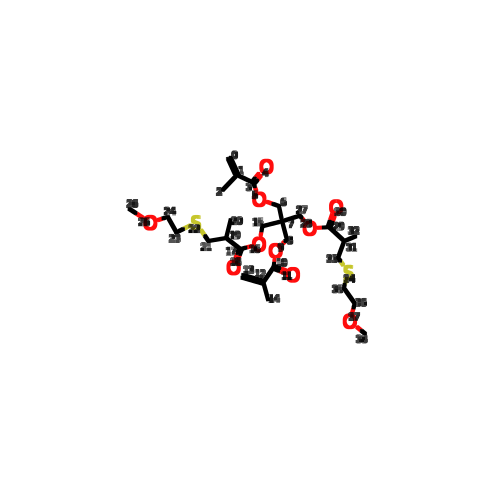 C=C(C)C(=O)OCC(COC(=O)C(=C)C)(COC(=O)C(C)CSCCOC)COC(=O)C(C)CSCCOC